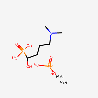 CN(C)CCCC(O)P(=O)(O)O.O=[PH](O)O.[NaH].[NaH]